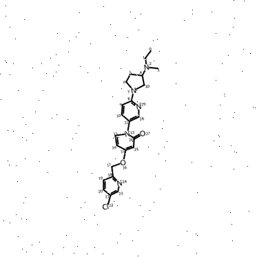 CCN(C)C1CCN(c2ccc(-n3ccc(OCc4ccc(Cl)cn4)cc3=O)cn2)C1